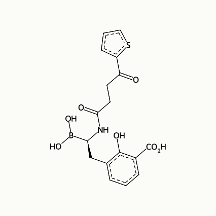 O=C(CCC(=O)c1cccs1)N[C@@H](Cc1cccc(C(=O)O)c1O)B(O)O